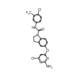 Nc1nc(Cl)cc(Oc2ccc3c(c2)CCN3C(=O)Nc2ccc(Cl)c(C(F)(F)F)c2)n1